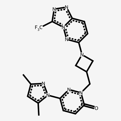 Cc1cc(C)n(-c2ccc(=O)n(CC3CN(c4ccc5nnc(C(F)(F)F)n5n4)C3)n2)n1